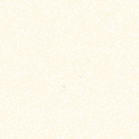 CC1CC2C(N1)NC1NCCCC12